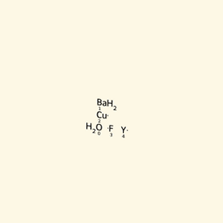 O.[BaH2].[Cu].[F].[Y]